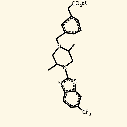 CCOC(=O)Cc1cccc(CN2CC(C)N(c3nc4ccc(C(F)(F)F)cc4s3)CC2C)c1